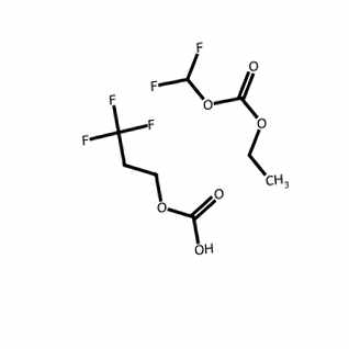 CCOC(=O)OC(F)F.O=C(O)OCCC(F)(F)F